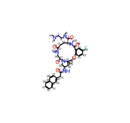 CN(C)CCN(C)C(=O)[C@@H]1CCC(=O)N(C)CC(=O)N2C[C@H](NC(=O)Cc3ccc4ccccc4c3)C[C@H]2COc2ccc(F)cc2C(=O)N1C